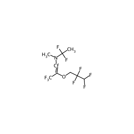 C[N]([Cf]=[C](OCC(F)(F)C(F)F)C(F)(F)F)C(C)(F)F